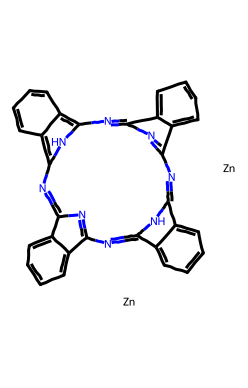 [Zn].[Zn].c1ccc2c(c1)-c1nc-2nc2[nH]c(nc3nc(nc4[nH]c(n1)c1ccccc41)-c1ccccc1-3)c1ccccc21